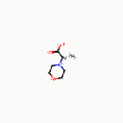 C[C@@H](C(=O)O)N1CCOCC1